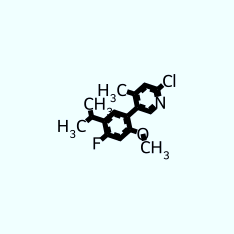 COc1cc(F)c(C(C)C)cc1-c1cnc(Cl)cc1C